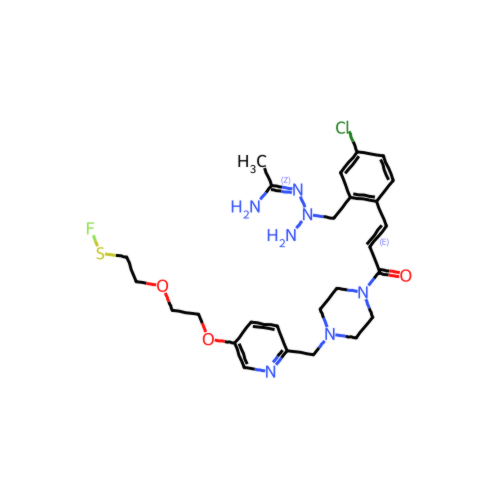 C/C(N)=N/N(N)Cc1cc(Cl)ccc1/C=C/C(=O)N1CCN(Cc2ccc(OCCOCCSF)cn2)CC1